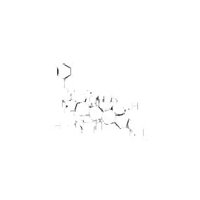 CN(C)[C@@H]1c2onc(OCc3ccccc3)c2C(=O)[C@@]2(O)C(O)=C3C(=O)c4c(O)cc(N)cc4C[C@H]3C[C@@H]12